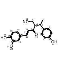 CC(c1ccc(O)cc1)N(CC#N)C(=O)/C=C/c1ccc(O)c(O)c1